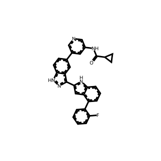 O=C(Nc1cncc(-c2ccc3[nH]nc(-c4cc5c(-c6ccccc6F)cccc5[nH]4)c3c2)c1)C1CC1